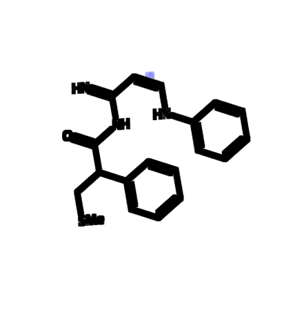 CSCC(C(=O)NC(=N)/C=C\Nc1ccccc1)c1ccccc1